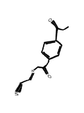 CC(=O)c1ccc(C(=O)N=CC=S)cc1